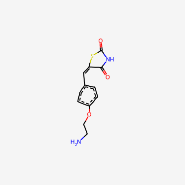 NCCOc1ccc(C=C2SC(=O)NC2=O)cc1